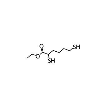 CCOC(=O)C(S)CCCCS